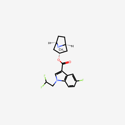 CN1[C@@H]2CC[C@H]1C[C@H](OC(=O)c1cn(CC(F)F)c3ccc(F)cc13)C2